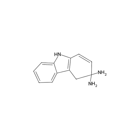 NC1(N)C=Cc2[nH]c3ccccc3c2C1